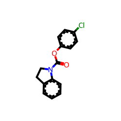 O=C(Oc1ccc(Cl)cc1)N1CCc2ccccc21